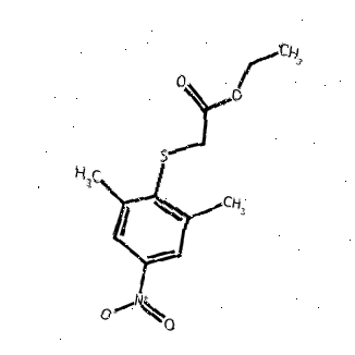 CCOC(=O)CSc1c(C)cc([N+](=O)[O-])cc1C